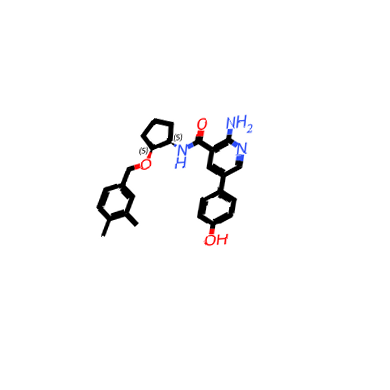 Cc1ccc(CO[C@H]2CCC[C@@H]2NC(=O)c2cc(-c3ccc(O)cc3)cnc2N)cc1C